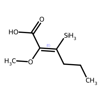 CCC/C([SiH3])=C(\OC)C(=O)O